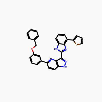 c1ccc(COc2cccc(-c3ccc4[nH]nc(-c5nc6c(-c7cccs7)cccc6[nH]5)c4n3)c2)cc1